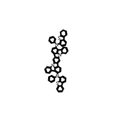 C1=CCC2C(=C1)c1c(N(c3ccccc3)c3cccc4c5c(sc34)CCC=C5)ccc3c4cc5c(cc4n2c13)c1ccc(N(c2ccccc2)c2cccc3c2sc2ccccc23)c2c3ccccc3n5c12